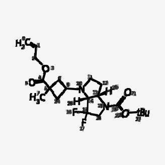 C=CCOC(=O)C1(C)CC(N2CC[C@H]3[C@@H]2C(F)(F)CN3C(=O)OC(C)(C)C)C1